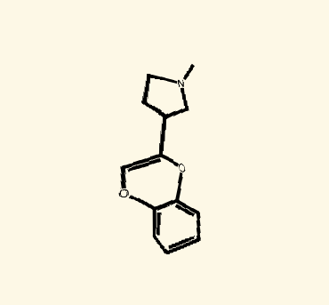 CN1CCC(C2=COc3ccccc3O2)C1